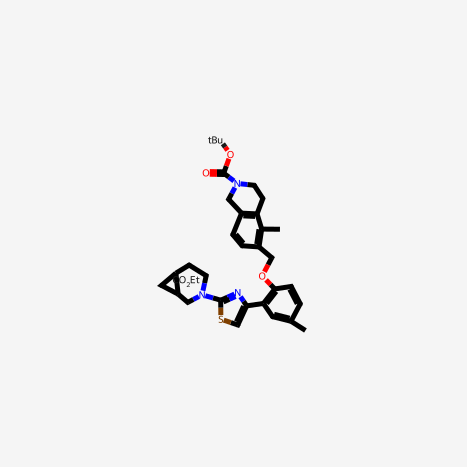 CCOC(=O)[C@@]12CCN(c3nc(-c4cc(C)ccc4OCc4ccc5c(c4C)CCN(C(=O)OC(C)(C)C)C5)cs3)CC1C2